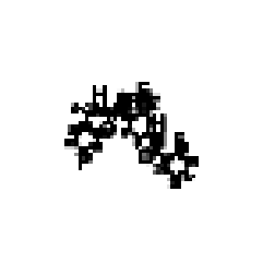 CC(NC(=O)N(S)c1ccc(NC(=O)c2ccccc2F)cc1C(F)(F)F)c1ccc(F)cc1